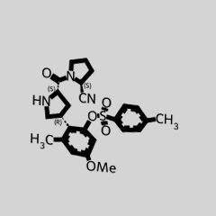 COc1cc(C)c([C@@H]2CN[C@H](C(=O)N3CCC[C@H]3C#N)C2)c(OS(=O)(=O)c2ccc(C)cc2)c1